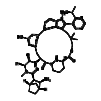 CCn1c(-c2cccnc2[C@H](C)OC)c2c3cc(ccc31)-c1cc(O)cc(c1)C[C@H](NC(=O)[C@H](C(C)C)N(C)C(=O)[C@@H]1[C@H]3CC[C@H](C3)[C@@H]1N)C(=O)N1CCC[C@H](N1)C(=O)OCC(C)(C)C2